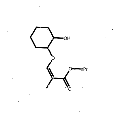 CCCOC(=O)C(C)=COC1CCCCC1O